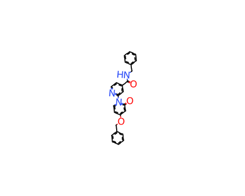 O=C(NCc1ccccc1)c1ccnc(-n2ccc(OCc3ccccc3)cc2=O)c1